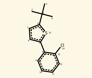 CC(C)(C)c1ccc(-c2ccccc2Cl)s1